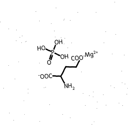 NC(CCC(=O)[O-])C(=O)[O-].O=P(O)(O)O.[Mg+2]